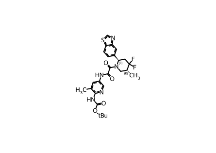 Cc1cc(NC(=O)C(=O)N2C[C@@H](C)C(F)(F)C[C@@H]2c2ccc3scnc3c2)cnc1NC(=O)OC(C)(C)C